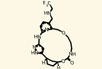 O=C1NCCCOCc2nc(ccc2CNCC(F)(F)F)Nc2cc([nH]n2)[C@H]2CC[C@H](C2)O1